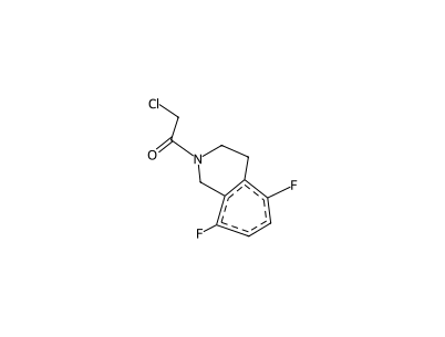 O=C(CCl)N1CCc2c(F)ccc(F)c2C1